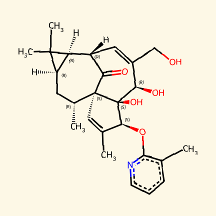 CC1=C[C@]23C(=O)[C@@H](C=C(CO)[C@@H](O)[C@]2(O)[C@H]1Oc1ncccc1C)[C@H]1[C@@H](C[C@H]3C)C1(C)C